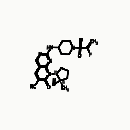 C=C(F)S(=O)(=O)N1CCC(Nc2ncc3cc(C#N)c(=O)n([C@@H]4CCC[C@@]4(C)O)c3n2)CC1